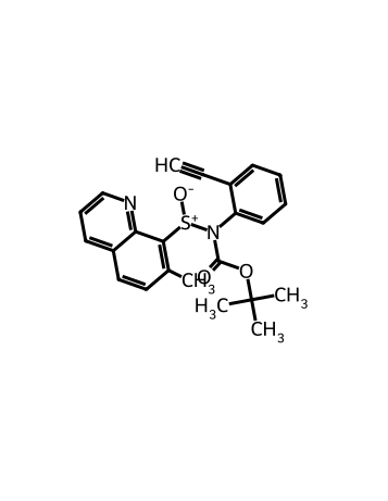 C#Cc1ccccc1N(C(=O)OC(C)(C)C)[S+]([O-])c1c(C)ccc2cccnc12